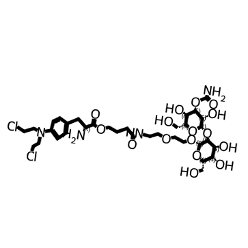 NC(=O)O[C@@H]1[C@H](O)[C@@H](O[C@@H]2[C@@H](OCCOCCNC(=O)CCCOC(=O)[C@H](N)Cc3ccc(N(CCCl)CCCl)cc3)O[C@@H](CO)[C@@H](O)[C@@H]2O)O[C@H](CO)[C@H]1O